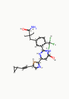 CC(C)(Cc1ccc(C(F)(F)F)c(-c2nc(-c3ncc(C#CC4CC4)s3)cc(=O)[nH]2)c1)C(N)=O